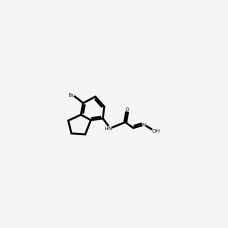 O=C(C=NO)Nc1ccc(Br)c2c1CCC2